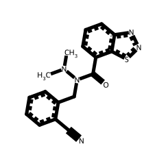 CN(C)N(Cc1ccccc1C#N)C(=O)c1cccc2nnsc12